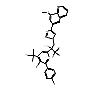 COc1cc(-c2cn(CC(O)(c3cc(C(C)(C)O)c(F)c(-c4ccc(F)cc4)n3)C(F)(F)F)nn2)cc2cccnc12